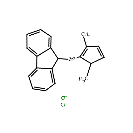 CC1=[C]([Zr+2][CH]2c3ccccc3-c3ccccc32)C(C)C=C1.[Cl-].[Cl-]